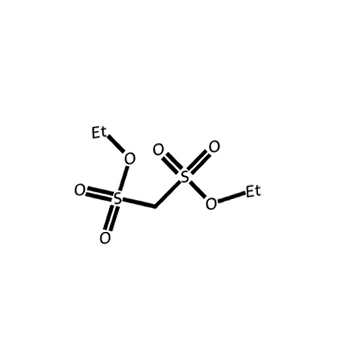 CCOS(=O)(=O)CS(=O)(=O)OCC